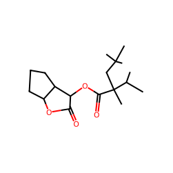 CC(C)C(C)(CC(C)(C)C)C(=O)OC1C(=O)OC2CCCC21